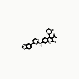 CC(=O)c1c(C2CNCCO2)c2ccc(Nc3nccc(-c4ccc5scnc5c4)n3)cc2oc1=O